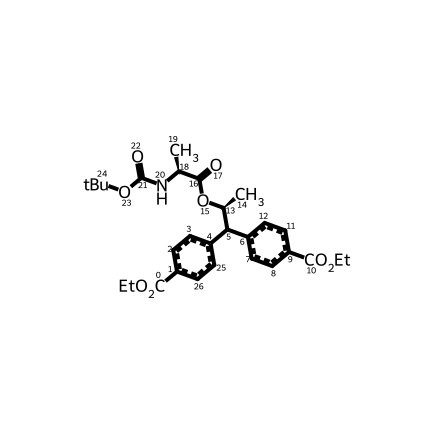 CCOC(=O)c1ccc(C(c2ccc(C(=O)OCC)cc2)[C@H](C)OC(=O)[C@H](C)NC(=O)OC(C)(C)C)cc1